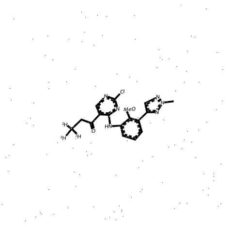 [2H]C([2H])([2H])CC(=O)c1cnc(Cl)nc1Nc1cccc(-c2cnn(C)n2)c1OC